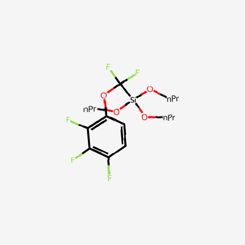 CCCO[Si](OCCC)(OCCC)C(F)(F)Oc1ccc(F)c(F)c1F